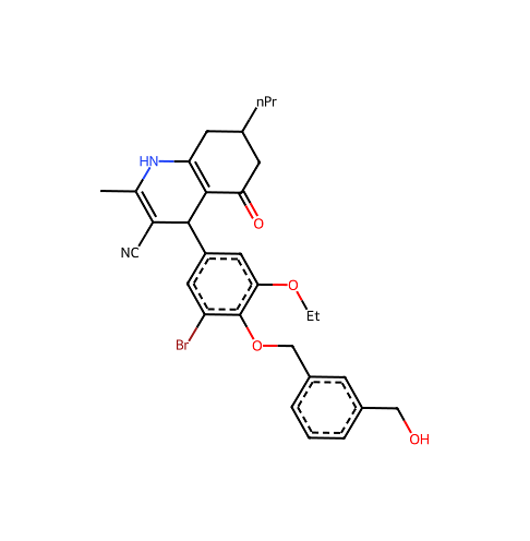 CCCC1CC(=O)C2=C(C1)NC(C)=C(C#N)C2c1cc(Br)c(OCc2cccc(CO)c2)c(OCC)c1